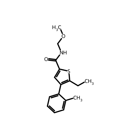 CCc1sc(C(=O)NCOC)cc1-c1ccccc1C